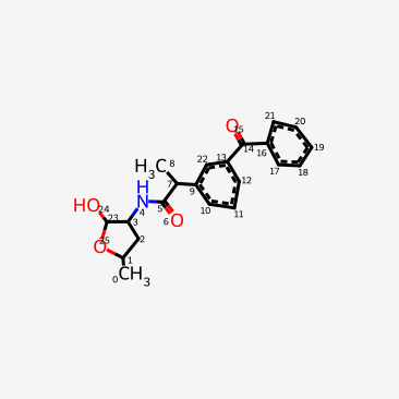 CC1CC(NC(=O)C(C)c2cccc(C(=O)c3ccccc3)c2)C(O)O1